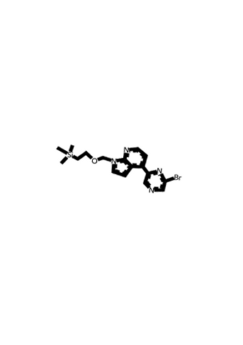 C[Si](C)(C)CCOCn1ccc2c(-c3cncc(Br)n3)ccnc21